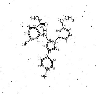 COc1cccc(-n2nc(-c3ccc(F)cc3)cc2Nc2cc(F)ccc2C(=O)O)c1